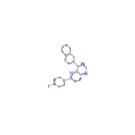 Fc1ccc(-c2ccc3ncnc(-c4ccc5ccccc5c4)c3n2)cc1